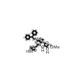 CCCCS(=O)(=O)NCc1nc(NCC(c2ccccc2)c2ccccc2)c2ncn([C@@H]3O[C@H](COC)[C@@H](O)[C@H]3O)c2n1